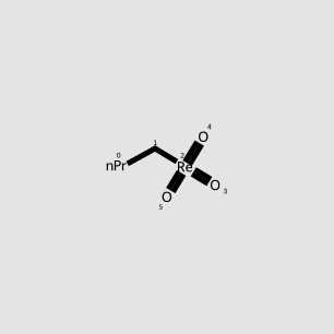 CCC[CH2][Re](=[O])(=[O])=[O]